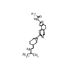 CC(=O)Nc1nc2c(s1)-c1nc(N3CCCC(CNC(C)C)C3)ncc1CC2